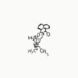 CC[Si]1(CC)CC[Si](CC)(CC)N1CCCN1C(=O)c2cccc3cccc(c23)C1=O